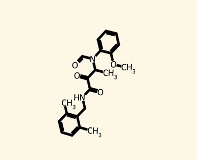 COc1ccccc1N(C=O)C(C)C(=O)C(=O)NCc1c(C)cccc1C